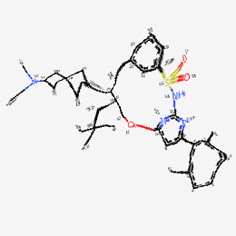 Cc1cccc(C)c1-c1cc2nc(n1)NS(=O)(=O)c1cccc(c1)CC(C1CC3(C1)CC(N(C)C)C3)[C@H](CC(C)(C)C)CO2